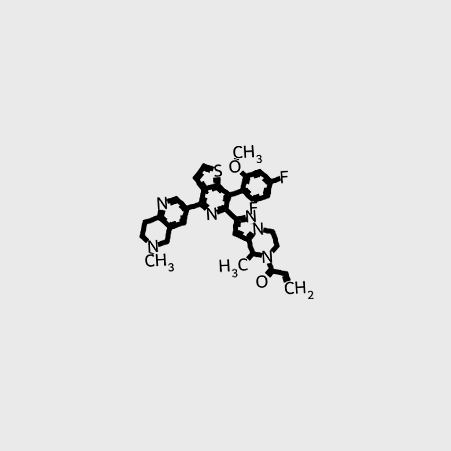 C=CC(=O)N1CCn2nc(-c3nc(-c4cnc5c(c4)CN(C)CC5)c4ccsc4c3-c3c(F)cc(F)cc3OC)cc2C1C